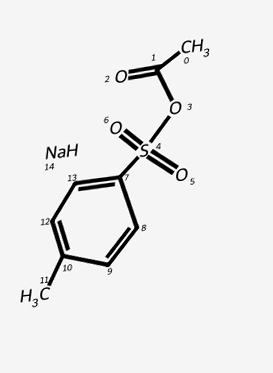 CC(=O)OS(=O)(=O)c1ccc(C)cc1.[NaH]